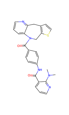 CN(C)c1ncccc1C(=O)Nc1ccc(C(=O)N2Cc3sccc3Cc3ncccc32)cc1